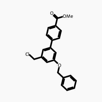 COC(=O)c1ccc(-c2cc(CCl)cc(OCc3ccccc3)c2)cc1